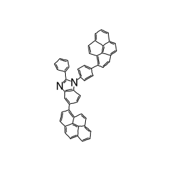 c1ccc(-c2nc3cc(-c4ccc5ccc6cccc7ccc4c5c67)ccc3n2-c2ccc(-c3ccc4ccc5cccc6ccc3c4c56)cc2)cc1